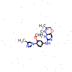 COc1cc(Nc2ncc3c(n2)N(C)[C@@H](C)CO3)ccc1-n1cnc(C)c1